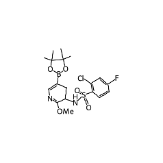 COC1=NC=C(B2OC(C)(C)C(C)(C)O2)CC1NS(=O)(=O)c1ccc(F)cc1Cl